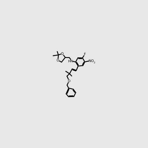 CC(C)(C=Cc1cc([N+](=O)[O-])c(F)cc1NCC1COC(C)(C)O1)COCc1ccccc1